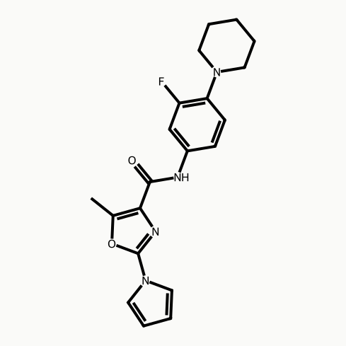 Cc1oc(-n2cccc2)nc1C(=O)Nc1ccc(N2CCCCC2)c(F)c1